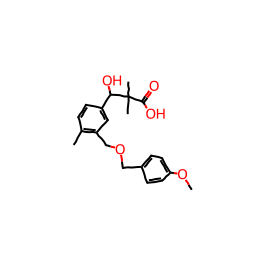 COc1ccc(COCc2cc(C(O)C(C)(C)C(=O)O)ccc2C)cc1